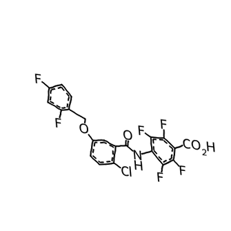 O=C(Nc1c(F)c(F)c(C(=O)O)c(F)c1F)c1cc(OCc2ccc(F)cc2F)ccc1Cl